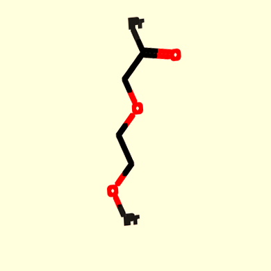 CC(C)OCCOCC(=O)C(C)C